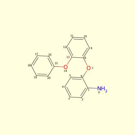 Nc1ccccc1Oc1ccccc1Oc1ccccc1